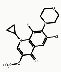 O=C(O)Oc1cn(C2CC2)c2c(F)c(N3CCOCC3)c(Cl)cc2c1=O